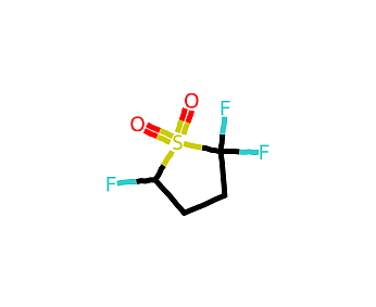 O=S1(=O)C(F)CCC1(F)F